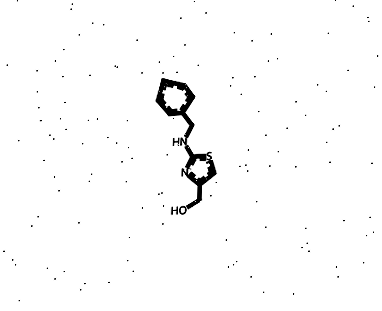 OCc1csc(NCc2ccccc2)n1